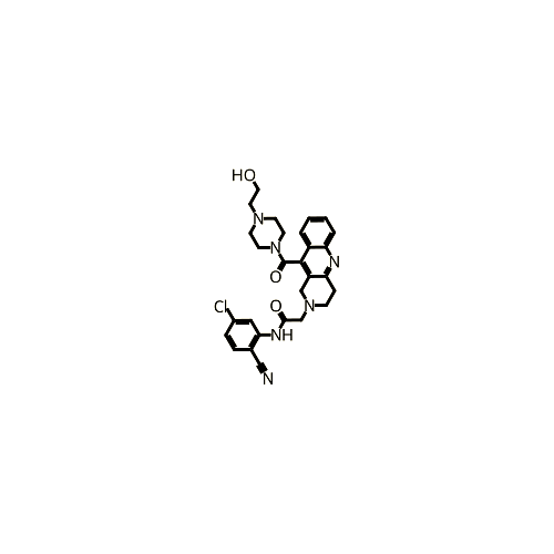 N#Cc1ccc(Cl)cc1NC(=O)CN1CCc2nc3ccccc3c(C(=O)N3CCN(CCO)CC3)c2C1